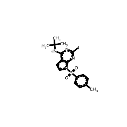 Cc1ccc(S(=O)(=O)n2ccc3c(NC(C)(C)C)nc(I)nc32)cc1